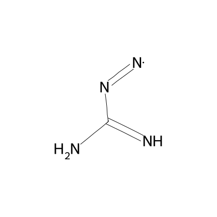 [N]=NC(=N)N